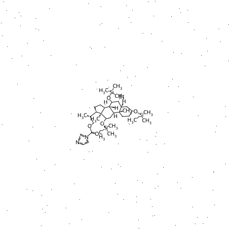 CC[C@H]1C(O[Si](C)(C)C)[C@@H]2[C@H](CC(O[Si](C)(C)C)[C@]3(C)[C@@H]([C@H](C)COC(=O)n4ccnc4)CC[C@@H]23)[C@@]2(C)CCC(O[Si](C)(C)C)C[C@@H]12